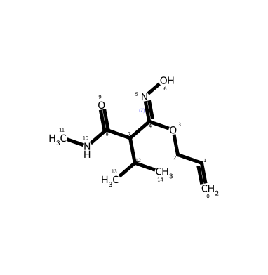 C=CCO/C(=N\O)C(C(=O)NC)C(C)C